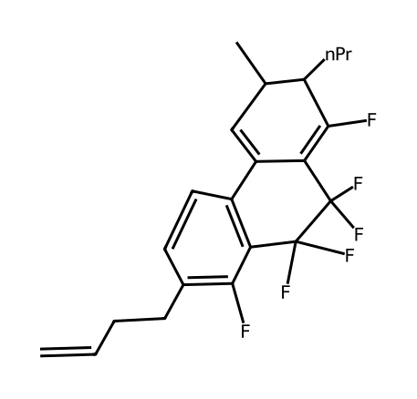 C=CCCc1ccc2c(c1F)C(F)(F)C(F)(F)C1=C(F)C(CCC)C(C)C=C12